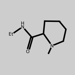 CCNC(=O)C1C[CH]CCN1C